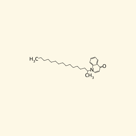 CCCCCCCCCCCCCCC(C)n1ccc(=O)c2ccccc21